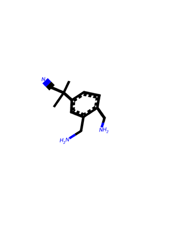 CC(C)(C#N)c1ccc(CN)c(CN)c1